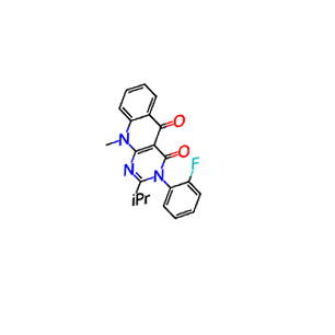 CC(C)c1nc2c(c(=O)c3ccccc3n2C)c(=O)n1-c1ccccc1F